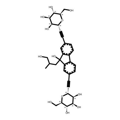 CC(CO)CC1(O)c2cc(C#C[C@H]3O[C@H](CO)[C@@H](O)[C@H](O)[C@@H]3O)ccc2-c2ccc(C#C[C@H]3O[C@H](CO)[C@@H](O)[C@H](O)[C@@H]3O)cc21